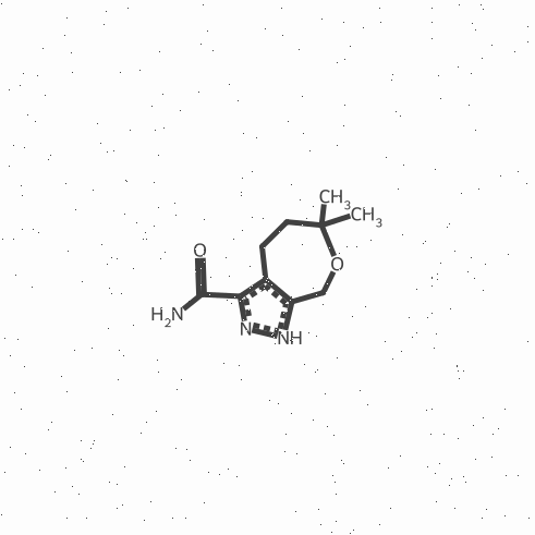 CC1(C)CCc2c(C(N)=O)n[nH]c2CO1